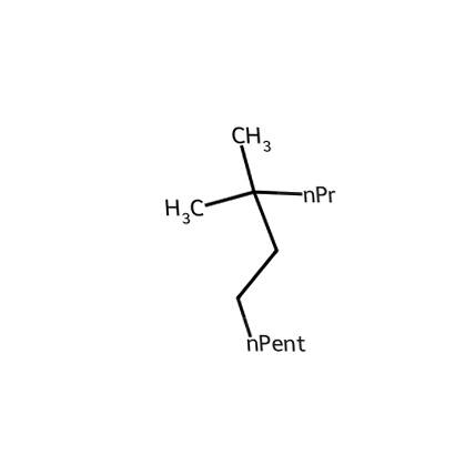 [CH2]CCC(C)(C)CCCCCCC